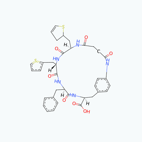 O=C1CCC(=O)N[C@H](CC2CC=CS2)C(=O)N[C@@H](Cc2cccs2)C(=O)N[C@H](Cc2ccccc2)C(=O)N[C@H](C(=O)O)Cc2ccc(cc2)N1